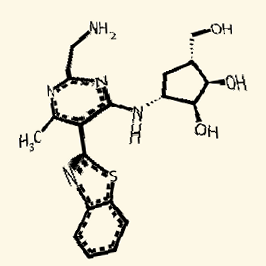 Cc1nc(CN)nc(N[C@@H]2C[C@H](CO)[C@@H](O)[C@H]2O)c1-c1nc2ccccc2s1